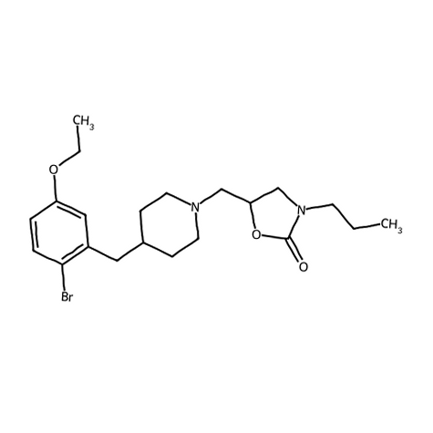 CCCN1CC(CN2CCC(Cc3cc(OCC)ccc3Br)CC2)OC1=O